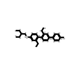 CCc1cc(OCC(CC)CC)ccc1-c1ccc(-c2ccc(C)cc2)cc1CC